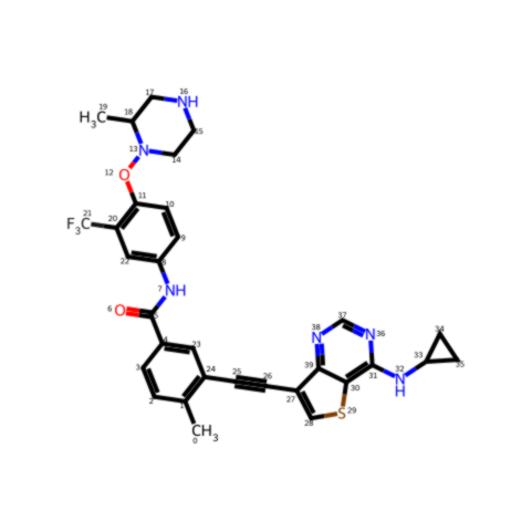 Cc1ccc(C(=O)Nc2ccc(ON3CCNCC3C)c(C(F)(F)F)c2)cc1C#Cc1csc2c(NC3CC3)ncnc12